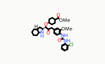 COC(=O)C1CCC(OC(C(=O)Cc2ccc(NC(=O)Nc3ccccc3Cl)c(OC)c2)[C@@H]2C[C@H]3CCCCC3N2)CC1